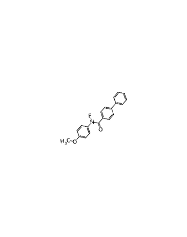 COc1ccc(N(F)C(=O)c2ccc(-c3ccccc3)cc2)cc1